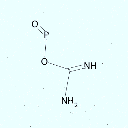 N=C(N)OP=O